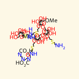 COCC1OC(OCC2OC(OCC3OC(OC)[C@@H](OCCCSCCNC(=O)CN(CCN(C)CCN(C)CC(=O)O)CC(=O)O)[C@@H](O)[C@@H]3O)[C@@H](OCCCSCCN)[C@@H](O)[C@@H]2O)[C@@H](OCCCSCCNC(=N)CS[C@H]2OC(CO)C(O)[C@@H](O)[C@H]2O)[C@@H](O)[C@@H]1O